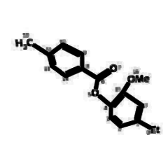 CCc1ccc(OC(=O)c2ccc(C)cc2)c(OC)c1